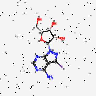 Nc1ncnc2c1c(I)nn2[C@@H]1O[C@H](CO)[C@H](O)[C@@H]1O